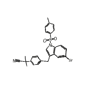 Cc1ccc(S(=O)(=O)n2cc(Cc3ccc(C(C)(C)C#N)cc3)c3cc(Br)ccc32)cc1